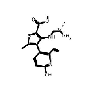 C=Cc1nc(O)ccc1-c1c(C)sc(C(=O)OC)c1NC[C@H](C)N